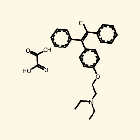 CCN(CC)CCOc1ccc(/C(=C(/Cl)c2ccccc2)c2ccccc2)cc1.O=C(O)C(=O)O